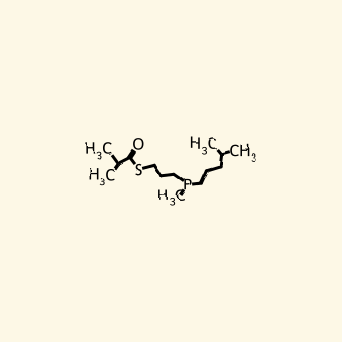 CC(C)CCCP(C)CCCSC(=O)C(C)C